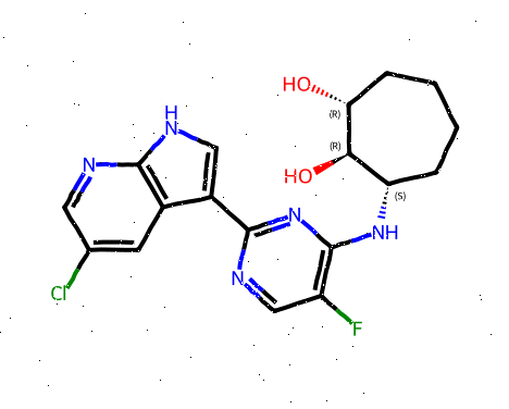 O[C@H]1[C@H](O)CCCC[C@@H]1Nc1nc(-c2c[nH]c3ncc(Cl)cc23)ncc1F